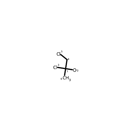 CC([O])(Cl)CCl